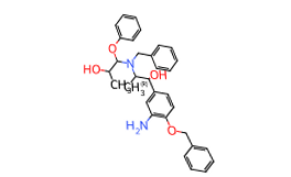 CC(O)C(Oc1ccccc1)N(Cc1ccccc1)C(C)[C@H](O)c1ccc(OCc2ccccc2)c(N)c1